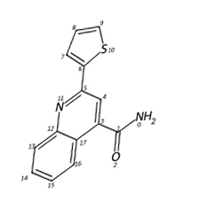 NC(=O)c1cc(-c2cccs2)nc2ccccc12